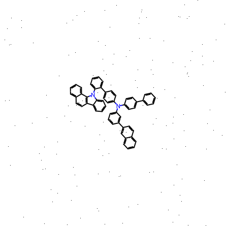 c1ccc(-c2ccc(N(c3ccc(-c4ccccc4-n4c5ccccc5c5ccc6ccccc6c54)cc3)c3cccc(-c4ccc5ccccc5c4)c3)cc2)cc1